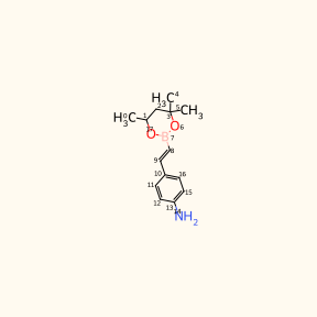 CC1CC(C)(C)OB(/C=C/c2ccc(N)cc2)O1